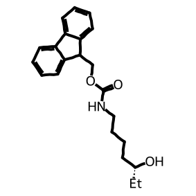 CC[C@@H](O)CCCCNC(=O)OCC1c2ccccc2-c2ccccc21